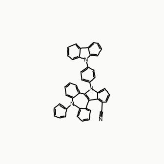 N#Cc1cccc2c1c1c(n2-c2ccc(-n3c4ccccc4c4ccccc43)cc2)-c2ccccc2N(c2ccccc2)c2ccccc2-1